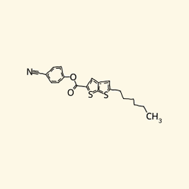 CCCCCCc1cc2cc(C(=O)Oc3ccc(C#N)cc3)sc2s1